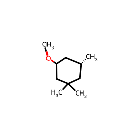 COC1C[C@H](C)CC(C)(C)C1